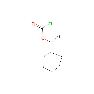 CCC(OC(=O)Cl)C1CCCCC1